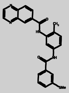 CSc1cccc(C(=O)Nc2ccc(C)c(NC(=O)c3ccc4nccnc4c3)c2)c1